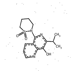 CC(C)c1nc(N2CCCCS2(=O)=O)c2cccnc2c1O